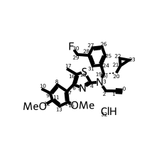 C#CCN(c1nc(-c2cc(C)c(OC)cc2OC)c(C)s1)[C@@H](CC1CC1)c1cccc(CF)c1.Cl